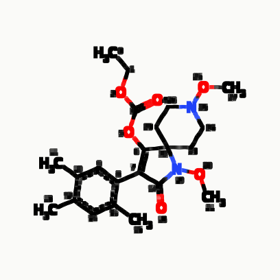 CCOC(=O)OC1=C(c2cc(C)c(C)cc2C)C(=O)N(OC)C12CCN(OC)CC2